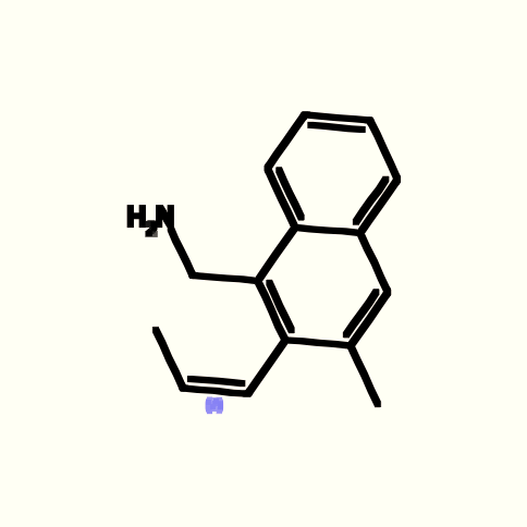 C/C=C\c1c(C)cc2ccccc2c1CN